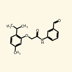 Cc1ccc(C(C)C)c(OCC(=O)Nc2cccc(C=O)c2)c1